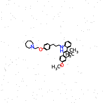 COc1ccc2c(c1)CC(C)(C)C(c1ccccc1NCCCc1ccc(OCCN3CCCCCC3)cc1)=C2